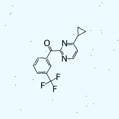 O=C(c1cccc(C(F)(F)F)c1)c1nccc(C2CC2)n1